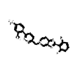 Fc1cccc(F)c1-c1nc2ccn(Cc3ccc(-c4ccc(C(F)(F)F)cc4C(F)(F)F)nn3)cc-2n1